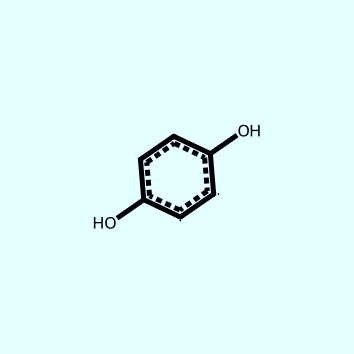 Oc1[c][c]c(O)cc1